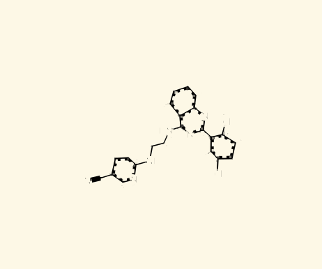 N#Cc1ccc(NCCNc2nc(-c3cc(Cl)ccc3Cl)nc3ccccc23)nc1